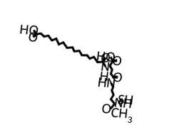 CC(=O)C(CCCCNC(=O)CCC(NC(=O)CCCCCCCCCCCCCCCCC(=O)O)C(=O)O)NS